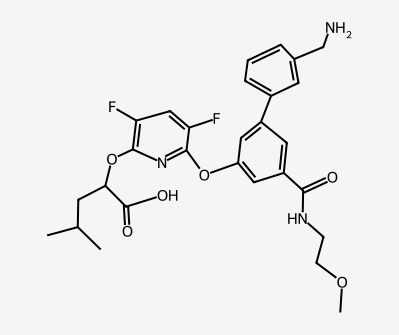 COCCNC(=O)c1cc(Oc2nc(OC(CC(C)C)C(=O)O)c(F)cc2F)cc(-c2cccc(CN)c2)c1